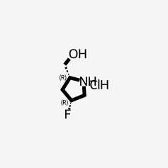 Cl.OC[C@H]1C[C@@H](F)CN1